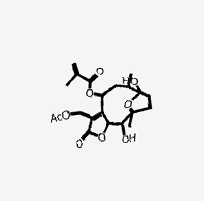 C=C(C)C(=O)OC1CC(C)C2(O)CCC(C)(O2)C(O)C2OC(=O)C(COC(C)=O)=C12